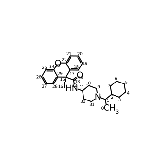 CC(C1CCCCC1)N1CCC(NC(=O)C2(I)c3ccccc3Oc3ccccc32)CC1